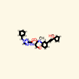 CN1C(=O)[C@@H](NC(=O)c2ncn(Cc3ccccc3)n2)COc2ccc(C#CC3(O)CCCC3)cc21